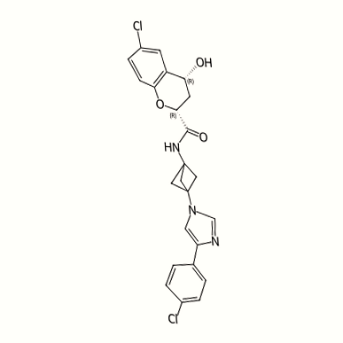 O=C(NC12CC(n3cnc(-c4ccc(Cl)cc4)c3)(C1)C2)[C@H]1C[C@@H](O)c2cc(Cl)ccc2O1